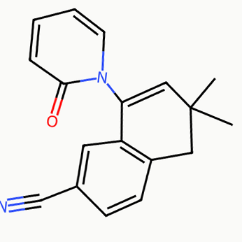 CC1(C)C=C(n2ccccc2=O)c2cc(C#N)ccc2C1